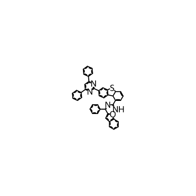 N=C(/N=C(/c1ccccc1)c1cc2ccccc2o1)C1=CC=CC2Sc3cc(-c4nc(-c5ccccc5)cc(-c5ccccc5)n4)ccc3C12